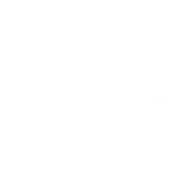 CCC(C)(C)c1cccc(-c2cc(-c3cccc4c3oc3ccccc34)c3ccc4cc(C(C)(C)C)cc5ccc2c3c54)c1